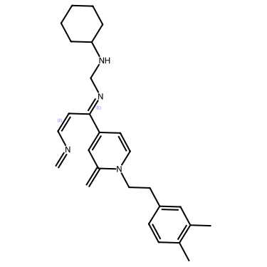 C=N/C=C\C(=N/CNC1CCCCC1)C1=CC(=C)N(CCc2ccc(C)c(C)c2)C=C1